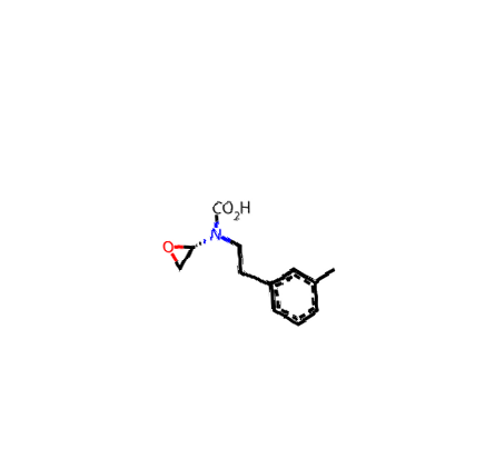 Cc1cccc(CCN(C(=O)O)[C@@H]2CO2)c1